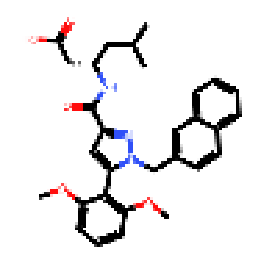 COc1cccc(OC)c1-c1cc(C(=O)N[C@H](CC(=O)O)CC(C)C)nn1Cc1ccc2ccccc2c1